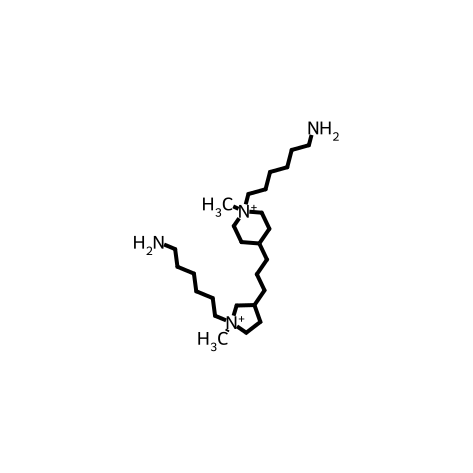 C[N+]1(CCCCCCN)CCC(CCCC2CC[N+](C)(CCCCCCN)C2)CC1